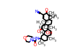 CC1(C)C(=O)C(C#N)=C[C@]2(C)C3=CC(=O)[C@]4(O)[C@@H]5C[C@@](C)(NC(=O)N6CCOCC6)CC[C@]5(C)CC[C@@]4(C)[C@]3(C)CC[C@@H]12